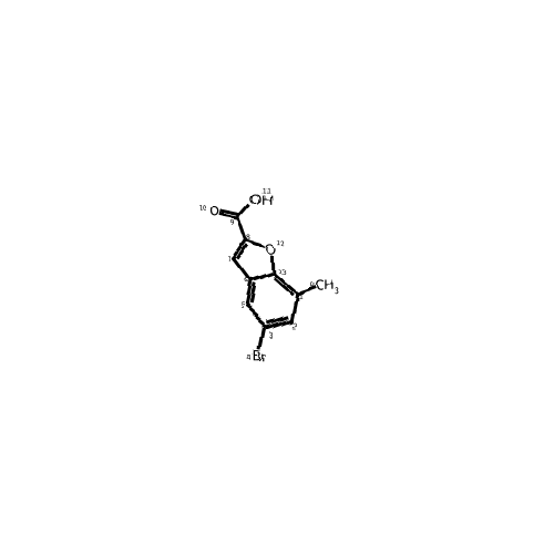 Cc1cc(Br)cc2cc(C(=O)O)oc12